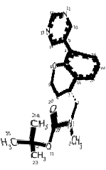 CN(C[C@@H]1CCOc2c(-c3cncnc3)cccc21)C(=O)OC(C)(C)C